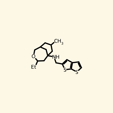 CCC1CC2(NCc3cc4ccsc4s3)CC(C)CC(CO1)C2